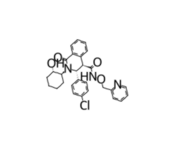 O=C(NOCc1ccccn1)[C@@H]1c2ccccc2C(=O)N([C@H]2CCCC[C@@H]2O)[C@H]1c1ccc(Cl)cc1